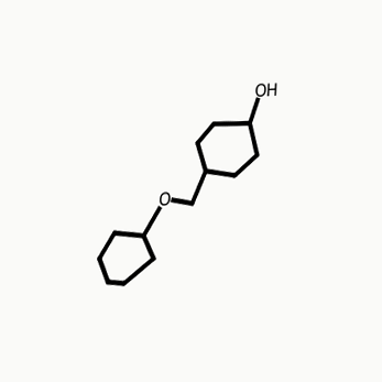 OC1CCC(COC2CCCCC2)CC1